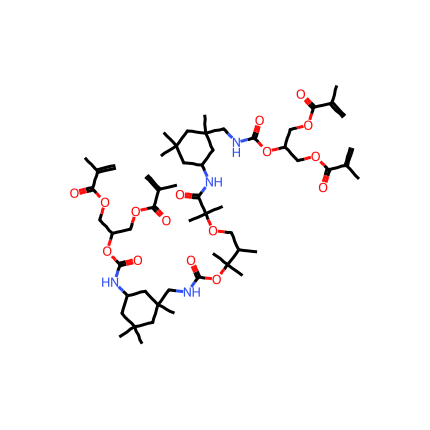 C=C(C)C(=O)OCC(COC(=O)C(=C)C)OC(=O)NCC1(C)CC(NC(=O)C(C)(C)OCC(C)C(C)(C)OC(=O)NCC2(C)CC(NC(=O)OC(COC(=O)C(=C)C)COC(=O)C(=C)C)CC(C)(C)C2)CC(C)(C)C1